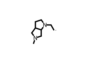 [CH2]CN1CCC2CN(C)CC21